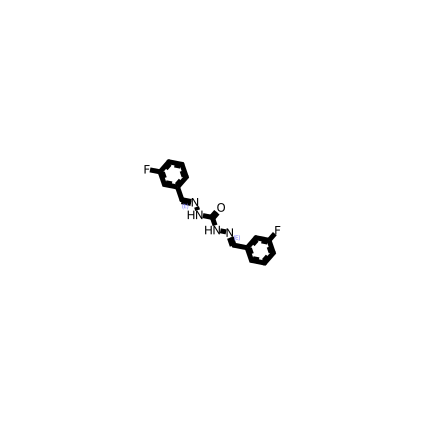 O=C(N/N=C/c1cccc(F)c1)N/N=C/c1cccc(F)c1